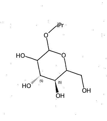 CC(C)OC1OC(CO)[C@@H](O)[C@H](O)C1O